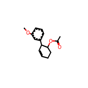 COc1cccc(C2C=CCCC2OC(C)=O)c1